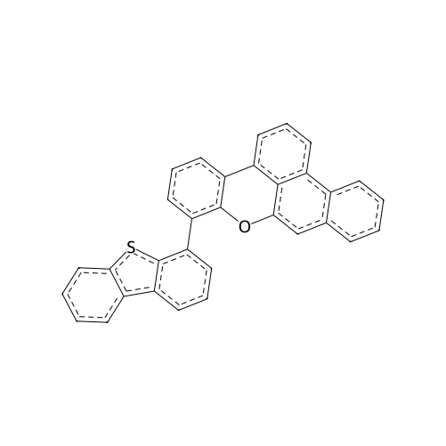 c1cc(-c2cccc3c2sc2ccccc23)c2c(c1)-c1cccc3c1c(cc1ccccc13)O2